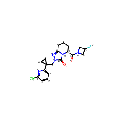 O=C([C@@H]1CCCc2nn(CC3(c4cccc(Cl)n4)CC3)c(=O)n21)N1CC(F)C1